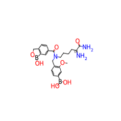 COc1cc(B(O)O)ccc1CN(CCCC[C@H](N)C(N)=O)C(=O)c1ccc2c(c1)B(O)OC2